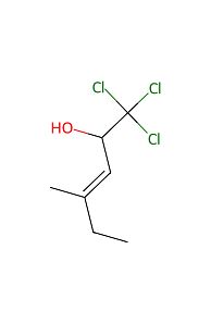 CCC(C)=CC(O)C(Cl)(Cl)Cl